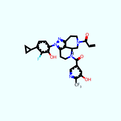 C=CC(=O)N1CCc2nn(-c3ccc(C4CC4)c(F)c3O)c3c2[C@H](C1)N(C(=O)c1cnc(C(F)(F)F)c(O)c1)CC3